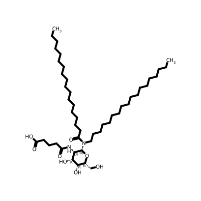 CCCCCCCCCCCCCCCCCCN(C(=O)CCCCCCCCCCCCCCCCC)[C@@H]1O[C@H](CO)[C@H](O)[C@H](O)[C@@H]1NC(=O)CCCC(=O)O